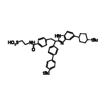 CC(C)(C)c1ccc(-c2ccc(C(Cc3ccc(C(=O)NCCS(=O)(=O)O)cc3)c3nc4cc(C5CCC(C(C)(C)C)CC5)ccc4[nH]3)cc2)cc1